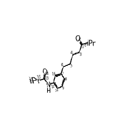 CC(C)C(=O)CCCCc1cccc(NC(=O)C(C)C)c1